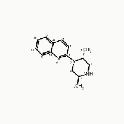 C[C@@H]1CN[C@@H](C)CN1c1ccc2ccccc2n1